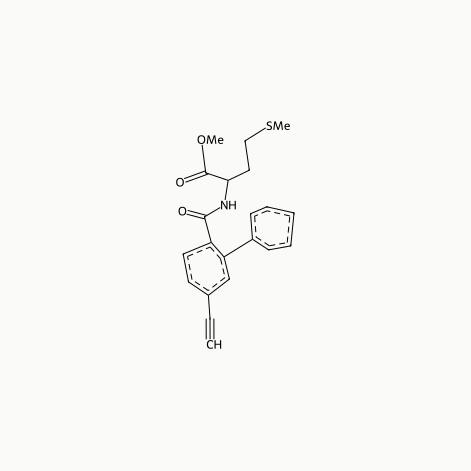 C#Cc1ccc(C(=O)NC(CCSC)C(=O)OC)c(-c2ccccc2)c1